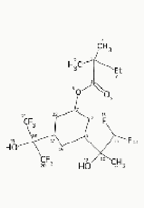 CCC(C)(C)C(=O)OC1CC(C(C)(O)C(F)F)CC(C(O)(C(F)(F)F)C(F)(F)F)C1